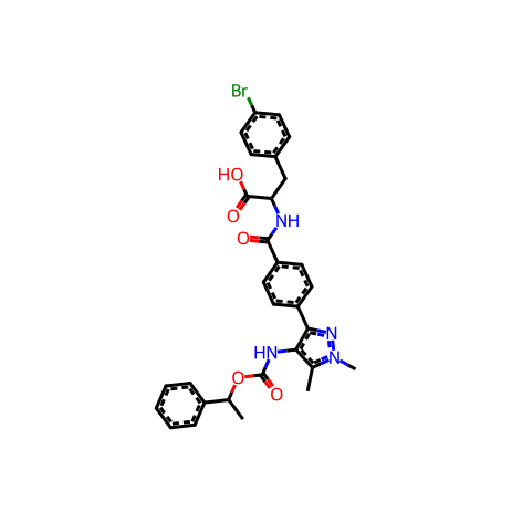 Cc1c(NC(=O)OC(C)c2ccccc2)c(-c2ccc(C(=O)NC(Cc3ccc(Br)cc3)C(=O)O)cc2)nn1C